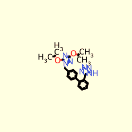 CC(C)Oc1nc(OC(C)C)n(Cc2ccc(-c3ccccc3-c3nnn[nH]3)cc2)n1